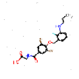 CCCNc1cccc(COc2c(Br)cc(C(=O)NCC(=O)O)cc2Br)c1F